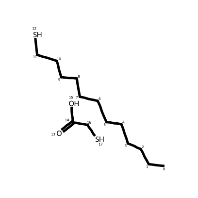 CCCCCCCCCCCCS.O=C(O)CS